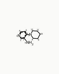 Nc1cnccc1N1CC[CH]CC1